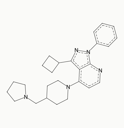 c1ccc(-n2nc(C3CCC3)c3c(N4CCC(CN5CCCC5)CC4)ccnc32)cc1